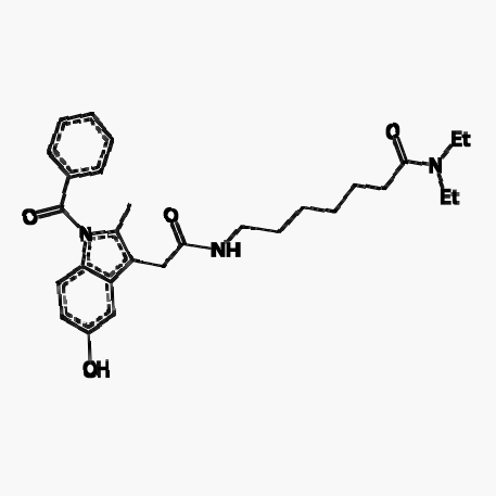 CCN(CC)C(=O)CCCCCCNC(=O)Cc1c(C)n(C(=O)c2ccccc2)c2ccc(O)cc12